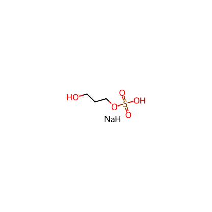 O=S(=O)(O)OCCCO.[NaH]